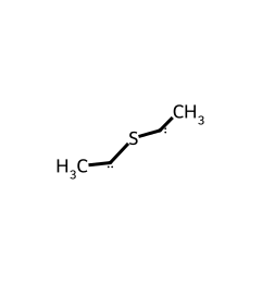 C[C]S[C]C